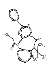 CC(C)(C)N1C(=O)c2cnc(-c3ccccc3)nc2N(C(=O)CCl)c2ccccc21